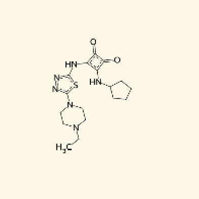 CCN1CCN(c2nnc(Nc3c(NC4CCCC4)c(=O)c3=O)s2)CC1